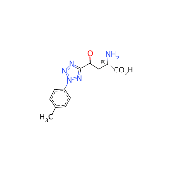 Cc1ccc(-n2nnc(C(=O)C[C@H](N)C(=O)O)n2)cc1